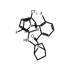 O=C(c1cccc(F)c1-n1nccn1)N1C2CCC1C(Nc1ncc(C(F)(F)F)cc1F)C2